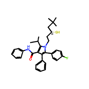 CC(C)c1c(C(=O)Nc2ccccc2)c(-c2ccccc2)c(-c2ccc(F)cc2)n1CC[C@@H](S)CC(C)(C)C